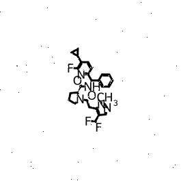 Cn1ncc(C(F)F)c1CC(=O)N1CCC[C@H]1C(=O)N[C@@H](c1ccccc1)c1ccc(C2CC2)c(F)n1